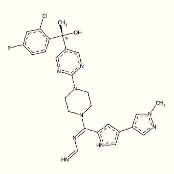 Cn1cc(-c2c[nH]c(/C(=N\C=N)N3CCN(c4ncc([C@@](C)(O)c5ccc(F)cc5Cl)cn4)CC3)c2)cn1